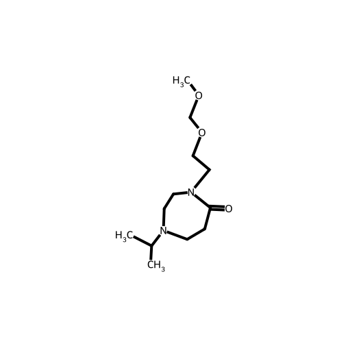 COCOCCN1CCN(C(C)C)CCC1=O